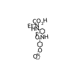 CCC(=NNc1cccc(NC(=O)c2ccc(OC[C@@H]3CCCO3)cc2)c1F)C(=O)O